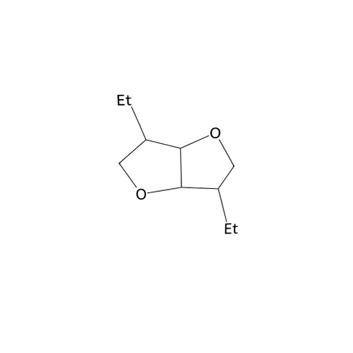 CCC1COC2C(CC)COC12